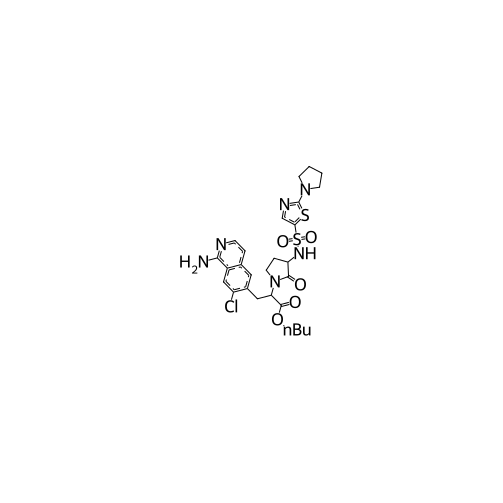 CCCCOC(=O)C(Cc1cc2ccnc(N)c2cc1Cl)N1CCC(NS(=O)(=O)c2cnc(N3CCCC3)s2)C1=O